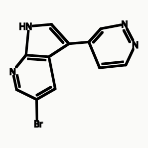 Brc1cnc2[nH]cc(-c3ccnnc3)c2c1